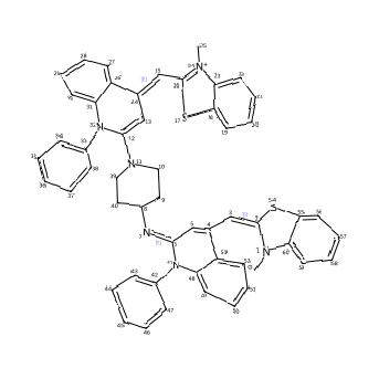 CN1/C(=C\c2c/c(=N\C3CCN(C4=C/C(=C\c5sc6ccccc6[n+]5C)c5ccccc5N4c4ccccc4)CC3)n(-c3ccccc3)c3ccccc23)Sc2ccccc21